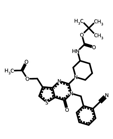 CC(=O)OCc1csc2c(=O)n(Cc3ccccc3C#N)c(N3CCCC(NC(=O)OC(C)(C)C)C3)nc12